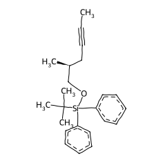 CC#CC[C@H](C)CO[Si](c1ccccc1)(c1ccccc1)C(C)(C)C